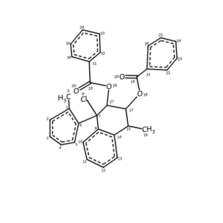 Cc1ccccc1C1(Cl)c2ccccc2C(C)C(OC(=O)c2ccccc2)C1OC(=O)c1ccccc1